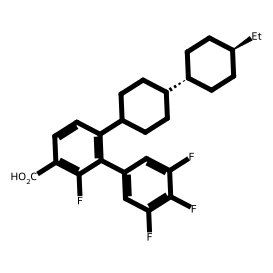 CC[C@H]1CC[C@H](C2CCC(c3ccc(C(=O)O)c(F)c3-c3cc(F)c(F)c(F)c3)CC2)CC1